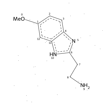 COc1ccc2nc(CCN)[nH]c2c1